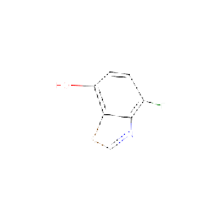 Oc1ccc(F)c2ncsc12